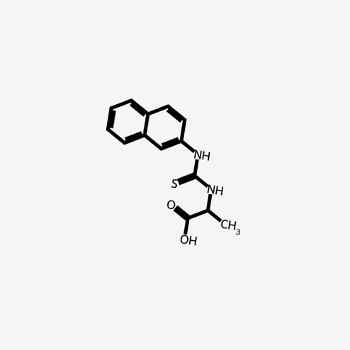 CC(NC(=S)Nc1ccc2ccccc2c1)C(=O)O